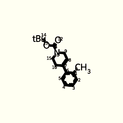 Cc1ccccc1C1=CCN(C(=O)OC(C)(C)C)CC1